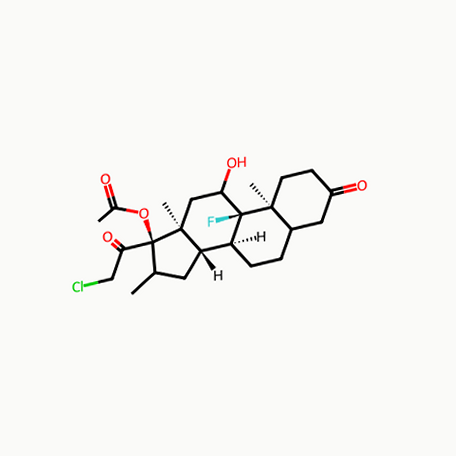 CC(=O)O[C@]1(C(=O)CCl)C(C)C[C@H]2[C@@H]3CCC4CC(=O)CC[C@]4(C)[C@@]3(F)C(O)C[C@@]21C